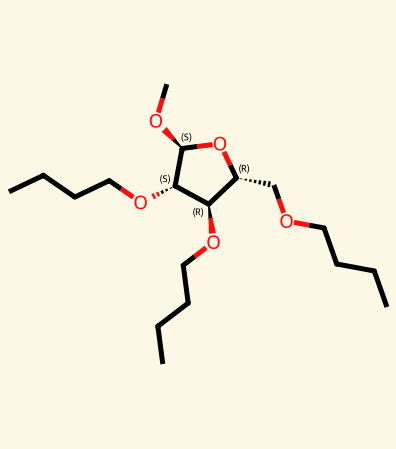 CCCCOC[C@H]1O[C@H](OC)[C@@H](OCCCC)[C@@H]1OCCCC